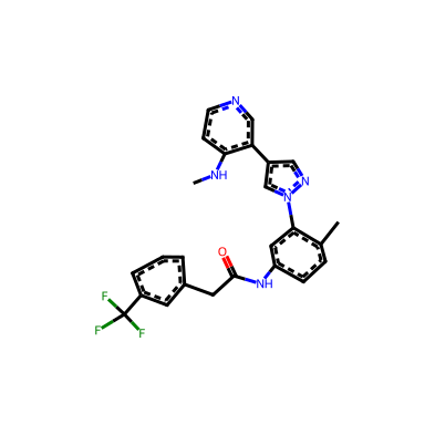 CNc1ccncc1-c1cnn(-c2cc(NC(=O)Cc3cccc(C(F)(F)F)c3)ccc2C)c1